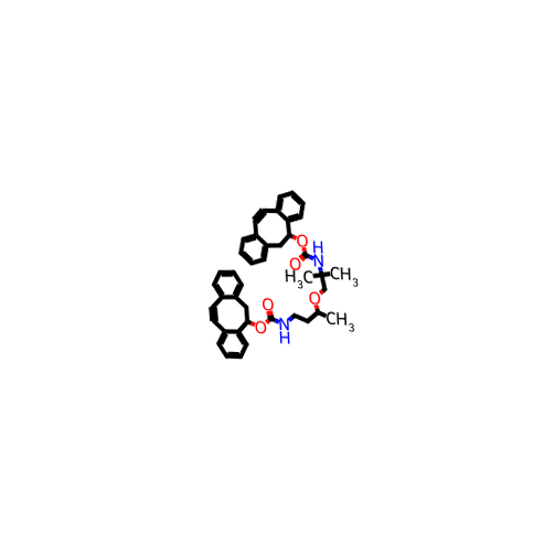 CC(CCNC(=O)OC1Cc2ccccc2C#Cc2ccccc21)OCC(C)(C)NC(=O)OC1Cc2ccccc2C#Cc2ccccc21